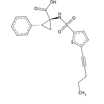 CCCC#Cc1ccc(S(=O)(=O)N[C@@]2(C(=O)O)C[C@@H]2c2ccccc2)s1